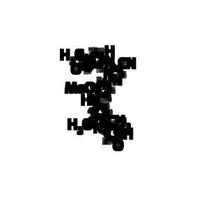 CO[C@@H]1CN(c2ncc(C#N)c(Nc3ccc4c(c3)CC(=O)N4C)n2)CC[C@H]1Nc1ccc2c(C3(C)CCC(=O)NC3=O)nn(C)c2c1